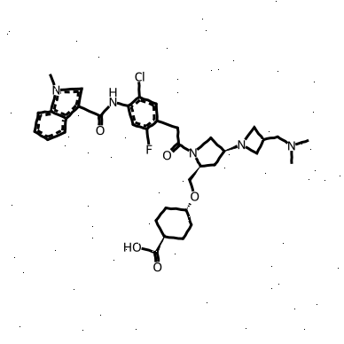 CN(C)CC1CN([C@H]2C[C@@H](CO[C@H]3CC[C@H](C(=O)O)CC3)N(C(=O)Cc3cc(Cl)c(NC(=O)c4cn(C)c5ccccc45)cc3F)C2)C1